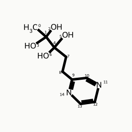 CC(O)(O)C(O)(O)CCc1cnccn1